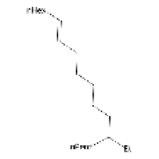 [CH2]CCCCCC=CCCCCCC(CC)CCCC[CH2]